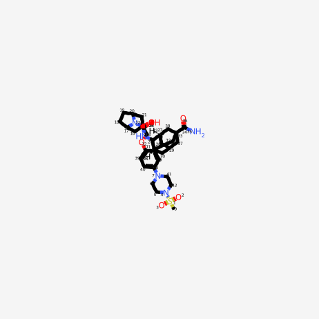 CS(=O)(=O)N1CCN(c2ccc(OCC3(O)CC4CCC(C3)N4C(=O)NC3[C@@H]4CC5C[C@H]3CC(C(N)=O)(C5)C4)cc2)CC1